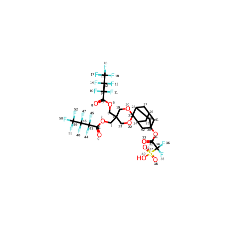 O=C(OCC1(COC(=O)C(F)(F)C(F)(F)C(F)(F)F)COC2(OC1)C1CC3CC2CC(OC(=O)C(F)(F)S(=O)(=O)O)(C3)C1)C(F)(F)C(F)(F)C(F)(F)F